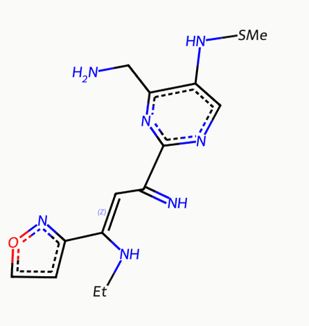 CCN/C(=C\C(=N)c1ncc(NSC)c(CN)n1)c1ccon1